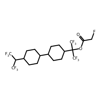 O=C(CF)OC(C1CCC(C2CCC(C(C(F)(F)F)C(F)(F)F)CC2)CC1)(C(F)(F)F)C(F)(F)F